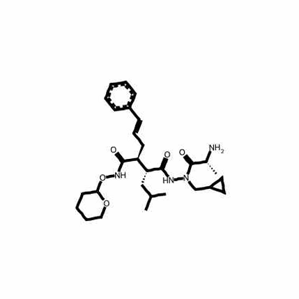 CC(C)C[C@@H](C(=O)NN(CC1CC1)C(=O)[C@@H](C)N)[C@H](CC=Cc1ccccc1)C(=O)NOC1CCCCO1